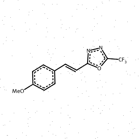 COc1ccc(/C=C/c2nnc(C(F)(F)F)o2)cc1